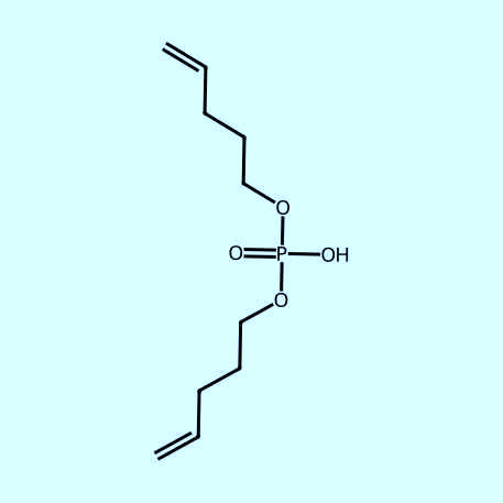 C=CCCCOP(=O)(O)OCCCC=C